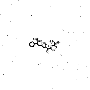 CC(C)[C@H](NC(=O)[C@H](N)C(C)C)C(=O)NC[C@H](O)CC(C1CCCCC1)[PH](=O)O